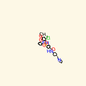 COc1cc(Cl)ccc1Oc1ccccc1NS(=O)(=O)c1ccc(C(=O)N[C@H]2CC[C@H](CCN3CCCC3)CC2)cc1